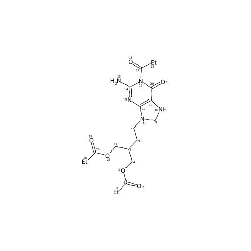 CCC(=O)OCC(CCN1CNc2c1nc(N)n(C(=O)CC)c2=O)COC(=O)CC